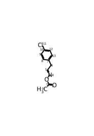 CC(=O)ON=CCc1ccc(Cl)cc1